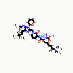 Cc1nc(CC(C)(C)C)c2nc(Cn3cccc(NC(=O)[C@H](CC/C=C/C(=O)N(C)C)NC(=O)O)c3=O)n(C3CCCCO3)c2n1